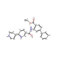 CC(C)(C)OC(=O)c1ccc(-c2ccccc2)cc1NC(=O)c1ccc(-c2ccncc2)nc1